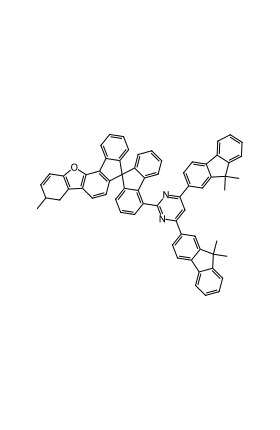 CC1C=Cc2oc3c4c(ccc3c2C1)C1(c2ccccc2-c2c(-c3nc(-c5ccc6c(c5)C(C)(C)c5ccccc5-6)cc(-c5ccc6c(c5)C(C)(C)c5ccccc5-6)n3)cccc21)c1ccccc1-4